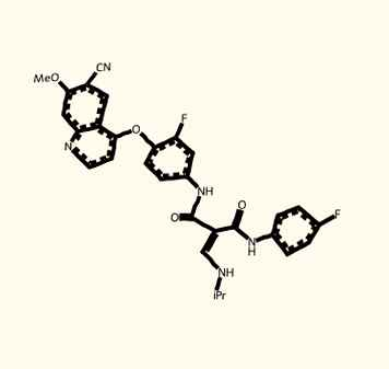 COc1cc2nccc(Oc3ccc(NC(=O)/C(=C/NC(C)C)C(=O)Nc4ccc(F)cc4)cc3F)c2cc1C#N